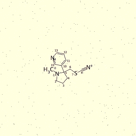 CN1CCCC1(CSC#N)c1cccnc1